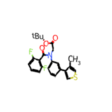 Cc1cscc1-c1cccc(N(CC(=O)OC(C)(C)C)C(=O)c2c(F)cccc2F)c1